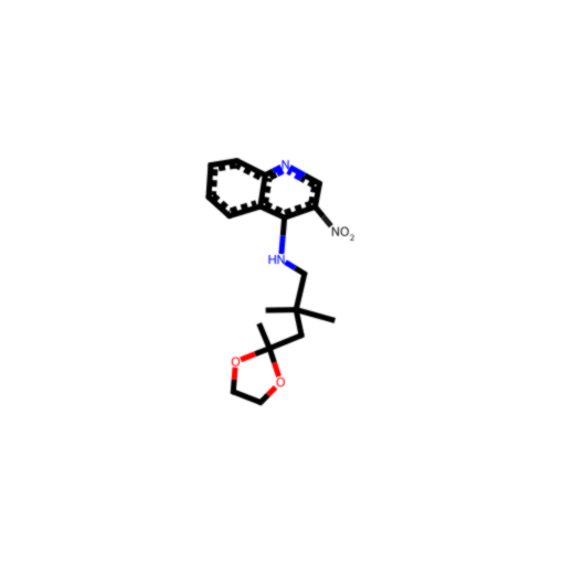 CC(C)(CNc1c([N+](=O)[O-])cnc2ccccc12)CC1(C)OCCO1